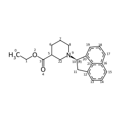 CCOC(=O)C1CCCN([C@@H]2Cc3cccc4cccc2c34)C1